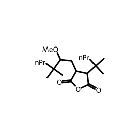 CCCC(C)(C)C(CC1C(=O)OC(=O)C1C(C)(C)CCC)OC